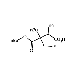 CCCCOC(=O)C(CCCC)(CC(C)C)C(CCC)C(=O)O